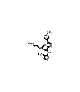 CNCCCc1cn2c(-c3cnn(C)c3)cnc2c(Nc2sncc2C)n1